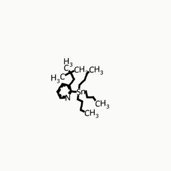 CCC[CH2][Sn]([CH2]CCC)([CH2]CCC)[c]1ncccc1CC(C)(C)C